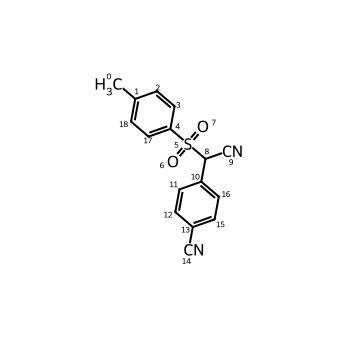 Cc1ccc(S(=O)(=O)C(C#N)c2ccc(C#N)cc2)cc1